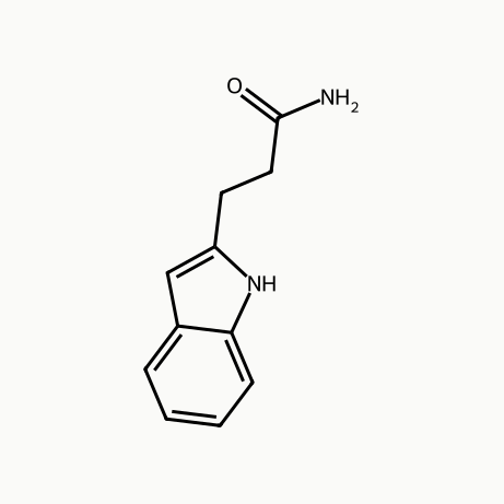 NC(=O)CCc1cc2ccccc2[nH]1